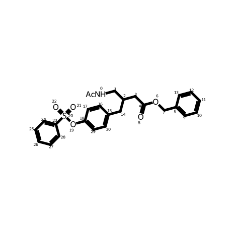 CC(=O)NCC(CC(=O)OCc1ccccc1)Cc1ccc(OS(=O)(=O)c2ccccc2)cc1